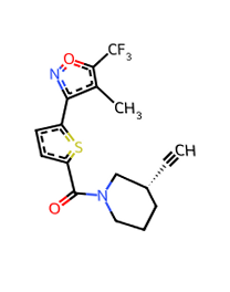 C#C[C@@H]1CCCN(C(=O)c2ccc(-c3noc(C(F)(F)F)c3C)s2)C1